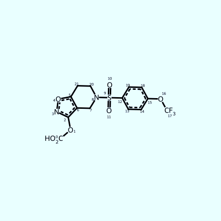 O=C(O)Oc1noc2c1CN(S(=O)(=O)c1ccc(OC(F)(F)F)cc1)CC2